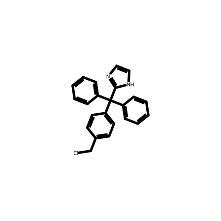 ClCc1ccc(C(c2ccccc2)(c2ccccc2)c2ncc[nH]2)cc1